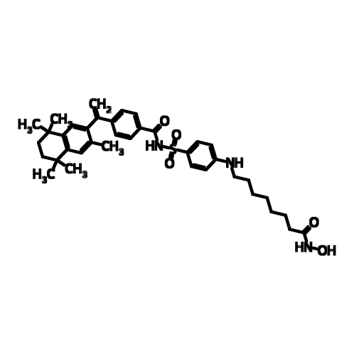 C=C(c1ccc(C(=O)NS(=O)(=O)c2ccc(NCCCCCCCC(=O)NO)cc2)cc1)c1cc2c(cc1C)C(C)(C)CCC2(C)C